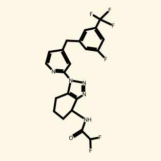 O=C(NC1CCCc2c1nnn2-c1cc(Cc2cc(F)cc(C(F)(F)F)c2)ccn1)C(F)F